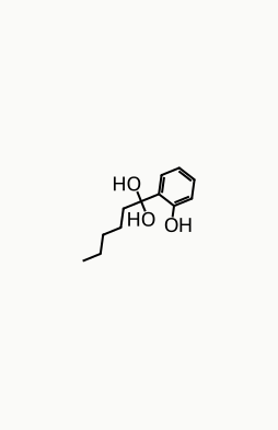 CCCCCC(O)(O)c1ccccc1O